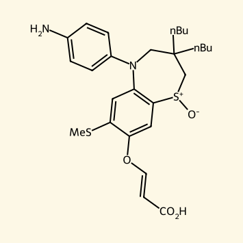 CCCCC1(CCCC)CN(c2ccc(N)cc2)c2cc(SC)c(O/C=C/C(=O)O)cc2[S+]([O-])C1